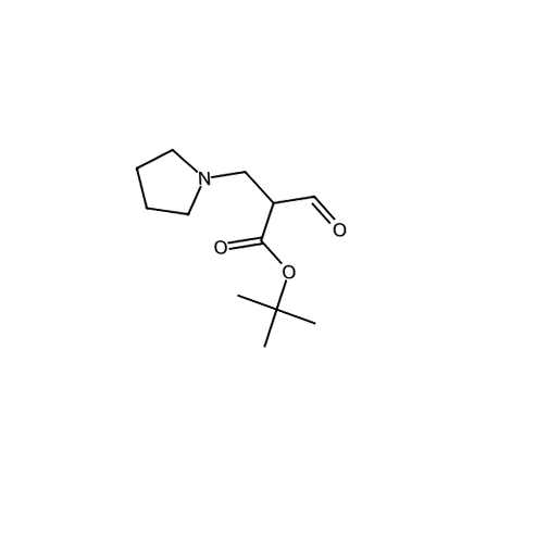 CC(C)(C)OC(=O)C(C=O)CN1CCCC1